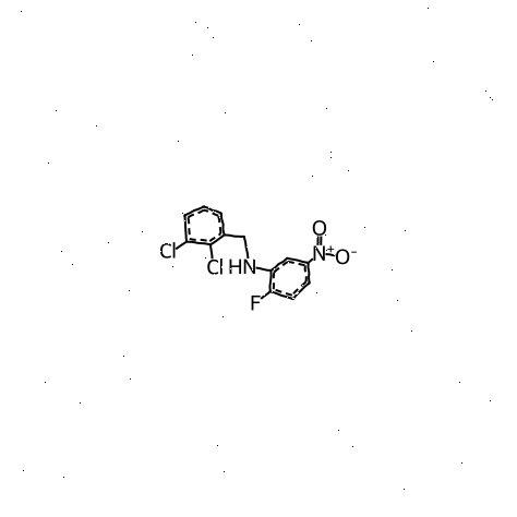 O=[N+]([O-])c1ccc(F)c(NCc2cccc(Cl)c2Cl)c1